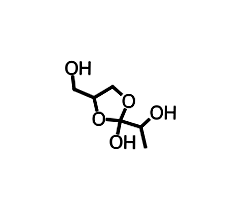 CC(O)C1(O)OCC(CO)O1